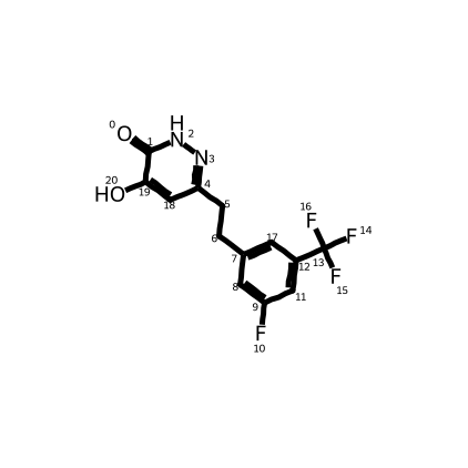 O=c1[nH]nc(CCc2cc(F)cc(C(F)(F)F)c2)cc1O